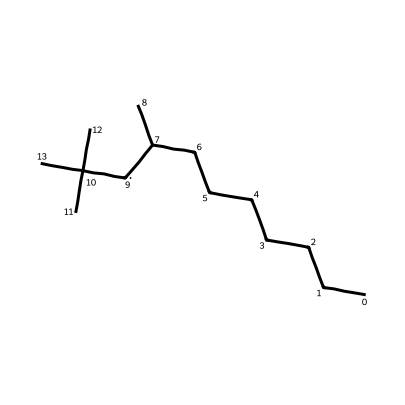 CCCCCCCC(C)[CH]C(C)(C)C